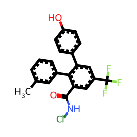 Cc1cccc(-c2c(C(=O)NCl)cc(C(F)(F)F)cc2-c2ccc(O)cc2)c1